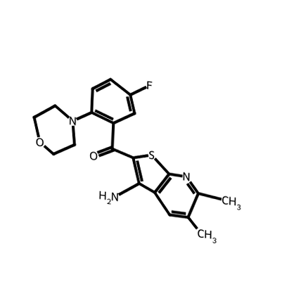 Cc1cc2c(N)c(C(=O)c3cc(F)ccc3N3CCOCC3)sc2nc1C